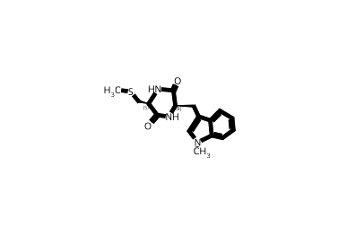 CSC[C@H]1NC(=O)[C@@H](Cc2cn(C)c3ccccc23)NC1=O